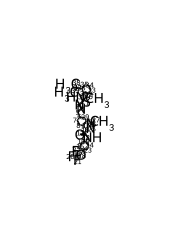 CSC(=NN=Cc1ccc2c(C(=O)Nc3ccc(OC(F)(F)F)cc3)nn(C)c2c1)Nc1ccccc1C(C)C